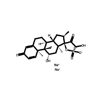 C[C@@H]1C[C@H]2[C@@H]3CCC4=CC(=O)C=C[C@]4(C)[C@@]3(F)[C@@H](O)C[C@]2(C)[C@@]1(OP(=O)([O-])[O-])C(=O)CO.[Na+].[Na+]